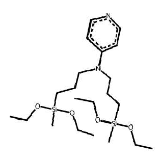 CCO[Si](C)(CCCN(CCC[Si](C)(OCC)OCC)c1ccncc1)OCC